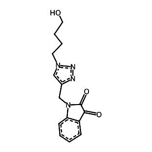 O=C1C(=O)N(Cc2cn(CCCCO)nn2)c2ccccc21